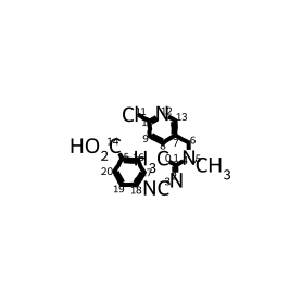 C/C(=N\C#N)N(C)Cc1ccc(Cl)nc1.O=C(O)c1ccccc1